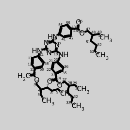 C=C(OCC(CC)CCCC)c1ccc(Nc2nc(Nc3ccc(C(=O)OCC(CC)CCCC)cc3)nc(Nc3ccc(C(=O)OCC(CC)CCCC)cc3)n2)cc1